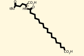 CC(C)(C)C(=O)CC[C@H](NC(=O)CCCCCCCCCCCCCCCCC(=O)O)C(=O)O